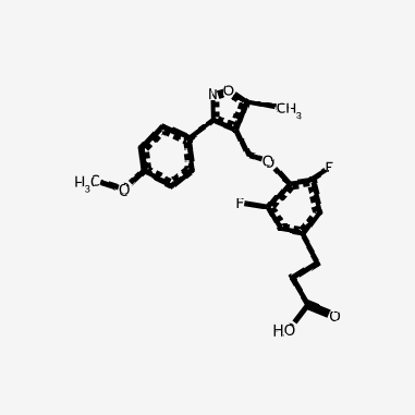 COc1ccc(-c2noc(C)c2COc2c(F)cc(CCC(=O)O)cc2F)cc1